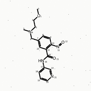 COCCN(C)Cc1ccc(N=O)c(C(=O)Nc2cccnc2)c1